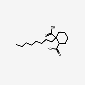 CCCCCCCCC1(C(=O)O)CCCCC1C(=O)O